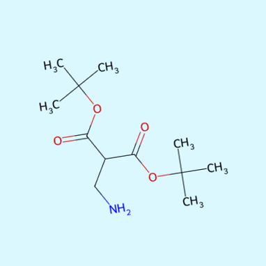 CC(C)(C)OC(=O)C(CN)C(=O)OC(C)(C)C